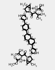 COC(=O)N[C@H](C(=O)N1[C@H](c2nc(-c3ccc4cc(-c5ccc(-c6c[nH]c([C@@H]7C[C@@]8(C)C[C@H]8N7C(=O)[C@@H](NC(=O)O)C(C)C)n6)cc5)ccc4c3)c[nH]2)C[C@@]2(C)C[C@@H]12)C(C)C